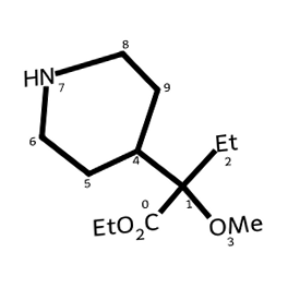 CCOC(=O)C(CC)(OC)C1CCNCC1